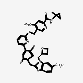 COc1cc(C(=O)NC2(C)CC2)ncc1COc1cccc(-c2cc(F)c(Cc3nc4ccc(C(=O)O)cc4n3C[C@@H]3CCO3)cc2F)n1